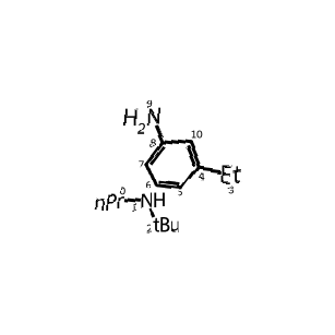 CCCNC(C)(C)C.CCc1cccc(N)c1